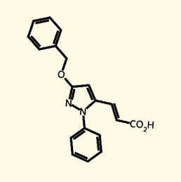 O=C(O)C=Cc1cc(OCc2ccccc2)nn1-c1ccccc1